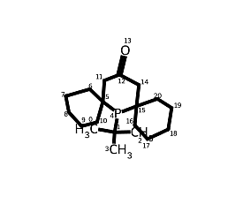 CC(C)(C)P1C2(CCCCC2)CC(=O)CC12CCCCC2